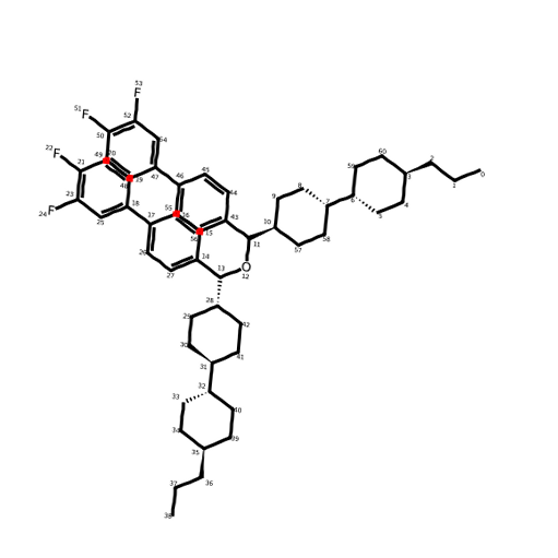 CCC[C@H]1CC[C@H]([C@H]2CC[C@H](C(OC(c3ccc(-c4ccc(F)c(F)c4)cc3)[C@H]3CC[C@H]([C@H]4CC[C@H](CCC)CC4)CC3)c3ccc(-c4ccc(F)c(F)c4)cc3)CC2)CC1